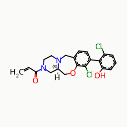 C=CC(=O)N1CCN2Cc3ccc(-c4c(O)cccc4Cl)c(Cl)c3OC[C@H]2C1